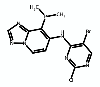 CP(C)c1c(Nc2nc(Cl)ncc2Br)ccn2ncnc12